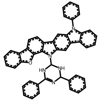 c1ccc(C2=NC(c3ccccc3)NC(n3c4cc5c6ccccc6n(-c6ccccc6)c5cc4c4ccc5c6ccccc6oc5c43)N2)cc1